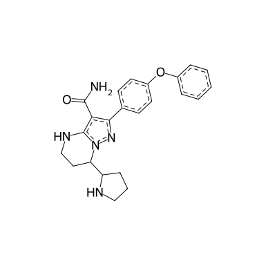 NC(=O)c1c(-c2ccc(Oc3ccccc3)cc2)nn2c1NCCC2C1CCCN1